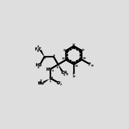 CC(C)(C)[S@@+]([O-])N[C@@](C)(C[C@H](O)C(F)(F)F)c1cccc(F)c1F